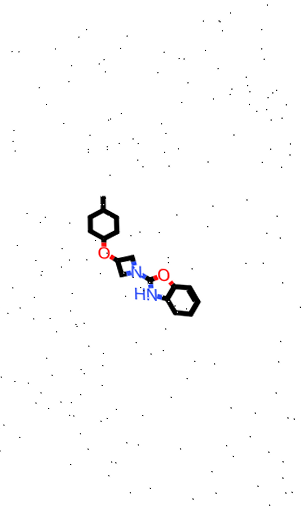 CC1CCC(OC2CN(C3NC4CCC=CC4O3)C2)CC1